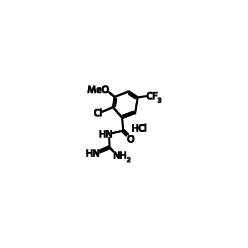 COc1cc(C(F)(F)F)cc(C(=O)NC(=N)N)c1Cl.Cl